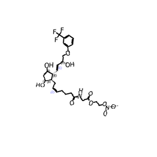 O=C(CCC/C=C\C[C@@H]1[C@@H](/C=C/[C@@H](O)COc2cccc(C(F)(F)F)c2)[C@H](O)C[C@@H]1O)NCC(=O)OCCO[N+](=O)[O-]